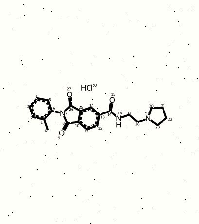 Cc1ccccc1N1C(=O)c2ccc(C(=O)NCCN3CCCC3)cc2C1=O.Cl